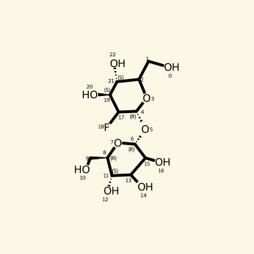 OCC1O[C@H](O[C@H]2O[C@H](CO)[C@@H](O)C(O)C2O)C(F)[C@@H](O)[C@@H]1O